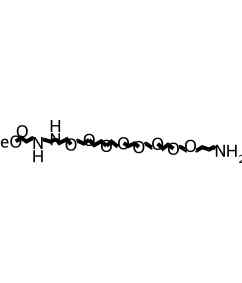 COC(=O)CCNCCNCCOCCOCCOCCOCCOCCOCCOCCOCCCCN